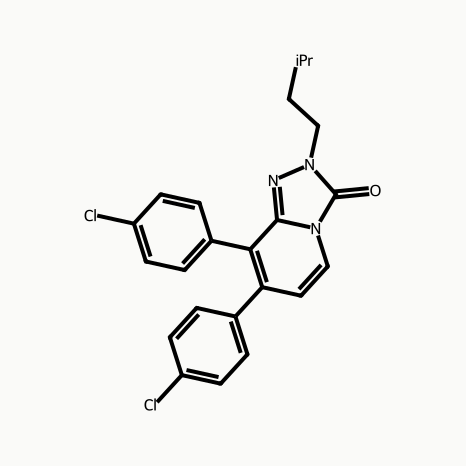 CC(C)CCn1nc2c(-c3ccc(Cl)cc3)c(-c3ccc(Cl)cc3)ccn2c1=O